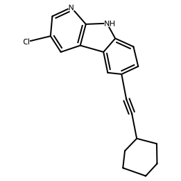 Clc1cnc2[nH]c3ccc(C#CC4CCCCC4)cc3c2c1